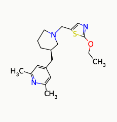 CCOc1ncc(CN2CCC[C@H](Cc3cc(C)nc(C)c3)C2)s1